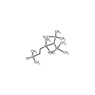 C[Si](C)(Cl)CC[Si](C)(C)N([Si](C)(C)C)[Si](C)(C)C